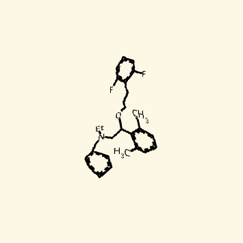 CCN(Cc1ccccc1)CC(OCCCc1c(F)cccc1F)c1c(C)cccc1C